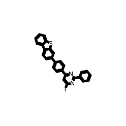 Ic1cc(-c2ccc(-c3ccc4c(c3)sc3ccccc34)cc2)nc(-c2ccccc2)n1